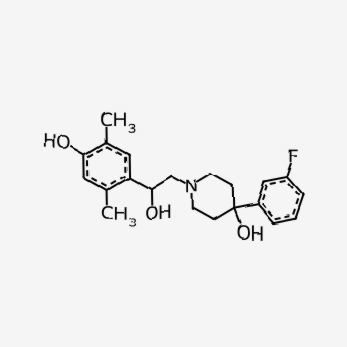 Cc1cc(C(O)CN2CCC(O)(c3cccc(F)c3)CC2)c(C)cc1O